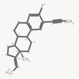 CC#Cc1cc2c(cc1F)CCC1C2CC[C@]2(C)C(=CC)CCC12